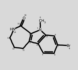 Cn1c2c(c3ccc(Br)cc31)CCCNC2=O